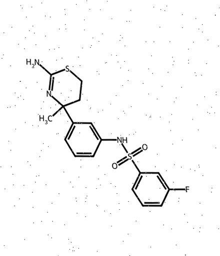 CC1(c2cccc(NS(=O)(=O)c3cccc(F)c3)c2)CCSC(N)=N1